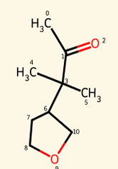 CC(=O)C(C)(C)C1CCOC1